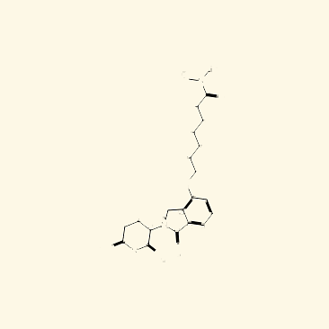 CC(C)N(C(=O)CCCCCCSc1cccc2c1CN(C1CCC(=O)NC1=O)C2=O)C(C)C